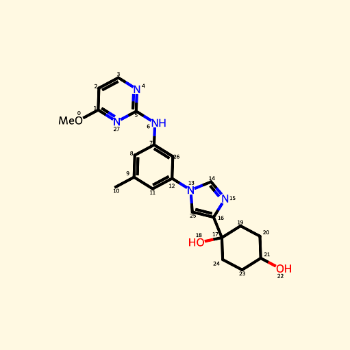 COc1ccnc(Nc2cc(C)cc(-n3cnc(C4(O)CCC(O)CC4)c3)c2)n1